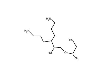 CC(CO)OCC(O)C(CCCN)CCCN